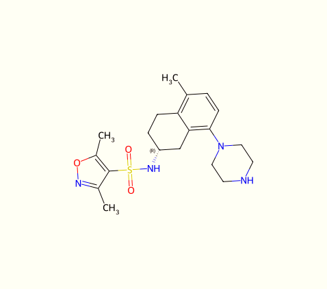 Cc1ccc(N2CCNCC2)c2c1CC[C@@H](NS(=O)(=O)c1c(C)noc1C)C2